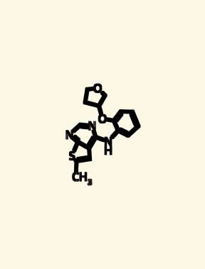 Cc1cc2c(Nc3ccccc3OC3CCOC3)ncnc2s1